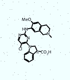 COc1cc2c(cc1Nc1ncc(Cl)c(N3C[C@@H](C(=O)O)c4ccccc43)n1)CN(C)CC2